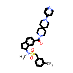 CN(C1CCc2ccc(C(=O)N3CCC4(CC3)CCN(c3ccncc3)CC4)cc21)S(=O)(=O)Cc1cccc(C(F)(F)F)c1